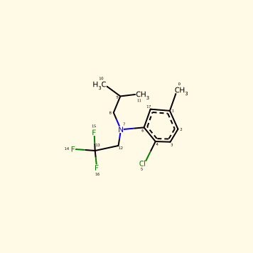 Cc1ccc(Cl)c(N(CC(C)C)CC(F)(F)F)c1